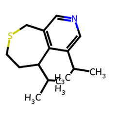 CC(C)c1cncc2c1C(C(C)C)CCSC2